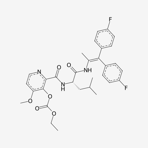 CCOC(=O)Oc1c(OC)ccnc1C(=O)N[C@@H](CC(C)C)C(=O)NC(C)=C(c1ccc(F)cc1)c1ccc(F)cc1